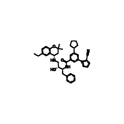 CCc1ccc2c(c1)[C@@H](NC[C@@H](O)[C@H](Cc1ccccc1)NC(=O)c1cc(C3CCCC3)cc(-n3cccc3C#N)c1)CC(C)(C)O2